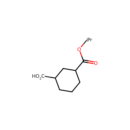 CC(C)OC(=O)C1CCCC(C(=O)O)C1